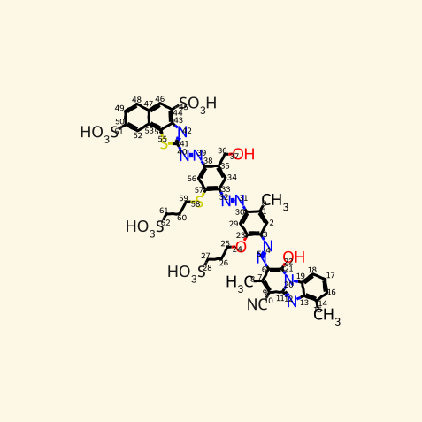 Cc1cc(N=Nc2c(C)c(C#N)c3nc4c(C)cccc4n3c2O)c(OCCCS(=O)(=O)O)cc1N=Nc1cc(CO)c(N=Nc2nc3c(S(=O)(=O)O)cc4ccc(S(=O)(=O)O)cc4c3s2)cc1SCCCS(=O)(=O)O